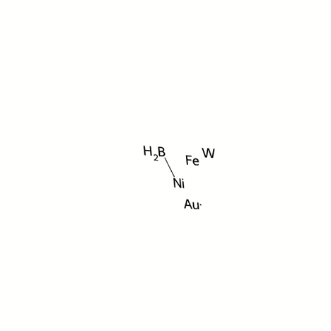 [Au].[BH2][Ni].[Fe].[W]